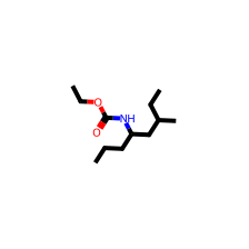 CCCC(CC(C)CC)NC(=O)OCC